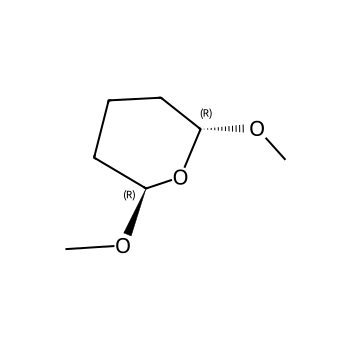 CO[C@H]1CCC[C@H](OC)O1